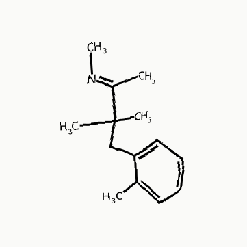 C/N=C(\C)C(C)(C)Cc1ccccc1C